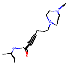 CC(C)NC(=O)C#CCCN1CCN(C)CC1